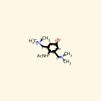 CC(=O)Nc1c(CN(C)C)cc(Br)cc1CN(C)C